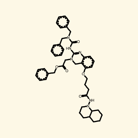 O=C(CCCOc1cccc2c1CN(CC(=O)OCc1ccccc1)C(NC(=O)N(Cc1ccccc1)Cc1ccccc1)=N2)NN1CCCC2CCCCC21